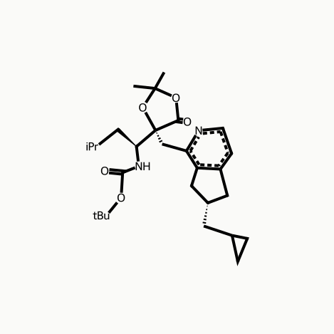 CC(C)C[C@H](NC(=O)OC(C)(C)C)[C@@]1(Cc2nccc3c2C[C@@H](CC2CC2)C3)OC(C)(C)OC1=O